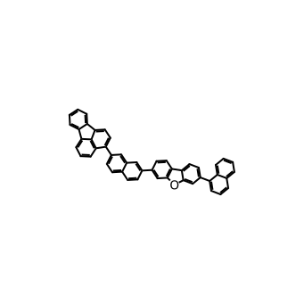 c1ccc2c(c1)-c1cccc3c(-c4ccc5ccc(-c6ccc7c(c6)oc6cc(-c8cccc9ccccc89)ccc67)cc5c4)ccc-2c13